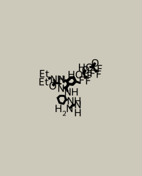 CCC(CC)NC(=O)c1nc(NC2CCCCC2NC(=N)N)c2cc(C)ccc2n1.O=C(O)C(F)(F)F.O=C(O)C(F)(F)F